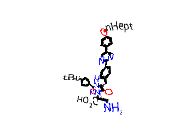 CCCCCCCOc1ccc(-c2cnc(-c3ccc(C[C@H](NC(=O)c4ccc(C(C)(C)C)cc4)C(=O)N[C@@H](CN)C(=O)O)cc3)nc2)cc1